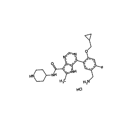 Cc1[nH]c2c(-c3cc(CN)c(F)cc3OCC3CC3)ncnc2c1C(=O)NC1CCNCC1.Cl